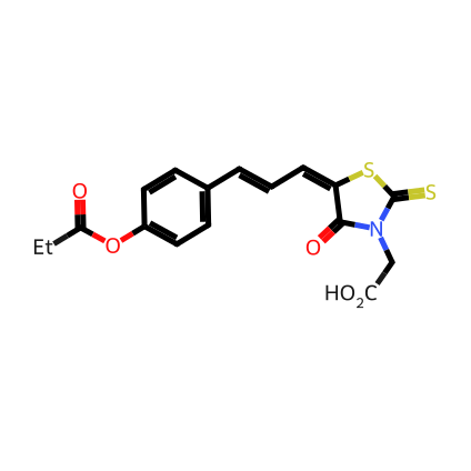 CCC(=O)Oc1ccc(C=CC=C2SC(=S)N(CC(=O)O)C2=O)cc1